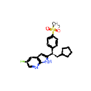 CS(=O)(=O)c1ccc([C@@H](CC2CCCC2)c2cc3cc(F)cnc3[nH]2)cc1